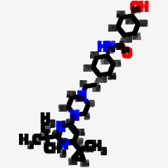 CC(C)(C)c1nc(N2CCN(CC[C@H]3CC[C@@H](NC(=O)[C@H]4CC[C@@H](O)CC4)CC3)CC2)cc(C2(C)CC2)n1